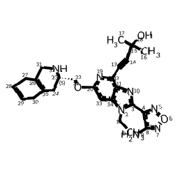 CCn1c(-c2nonc2N)nc2c(C#CC(C)(C)O)nc(OC[C@@H]3CC4=C(CC=CC4)CN3)cc21